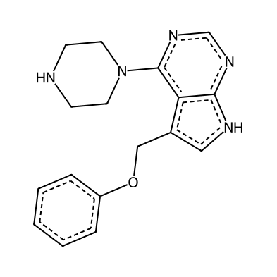 c1ccc(OCc2c[nH]c3ncnc(N4CCNCC4)c23)cc1